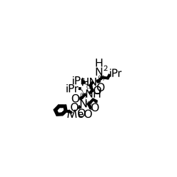 COC1OCC[C@@H]1N(C(=O)OCc1ccccc1)C(=O)[C@H](CC(C)C)NC(=O)[C@H](CC(C)C)NC(=O)[C@@H](N)CC(C)C